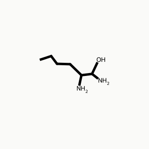 CCCCC(N)C(N)O